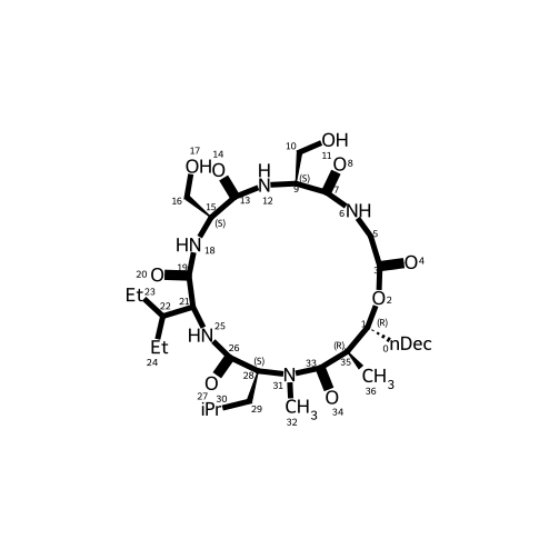 CCCCCCCCCC[C@H]1OC(=O)CNC(=O)[C@H](CO)NC(=O)[C@H](CO)NC(=O)C(C(CC)CC)NC(=O)[C@H](CC(C)C)N(C)C(=O)[C@@H]1C